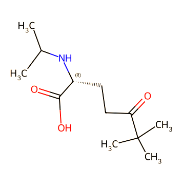 CC(C)N[C@H](CCC(=O)C(C)(C)C)C(=O)O